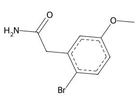 COc1ccc(Br)c(CC(N)=O)c1